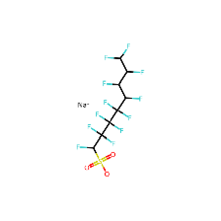 O=S(=O)([O-])C(F)C(F)(F)C(F)(F)C(F)(F)C(F)C(F)C(F)C(F)F.[Na+]